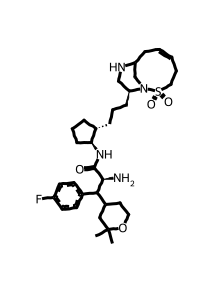 CC1(C)CC(C(c2ccc(F)cc2)[C@H](N)C(=O)N[C@H]2CCC[C@@H]2CCC[C@H]2CNC3C/C=C\CCS(=O)(=O)N2C3)CCO1